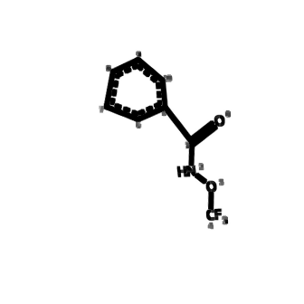 O=C(NOC(F)(F)F)c1ccccc1